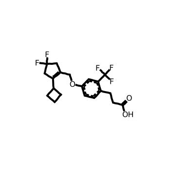 O=C(O)CCc1ccc(OCC2=C(C3CCC3)CC(F)(F)C2)cc1C(F)(F)F